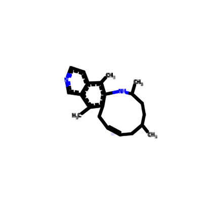 Cc1c2c(c(C)c3ccncc13)NC(C)CCC(C)C/C=C\C2